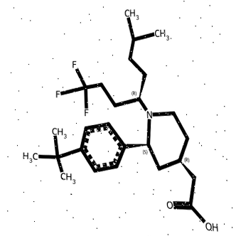 CC(C)CC[C@H](CCC(F)(F)F)N1CC[C@@H](CC(=O)O)C[C@H]1c1ccc(C(C)(C)C)cc1